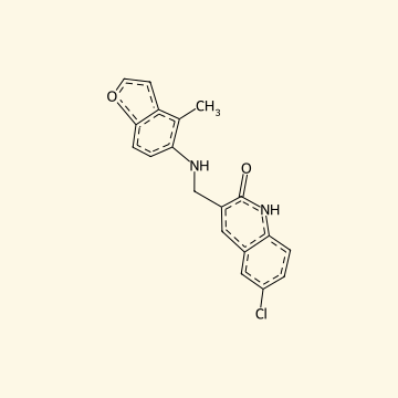 Cc1c(NCc2cc3cc(Cl)ccc3[nH]c2=O)ccc2occc12